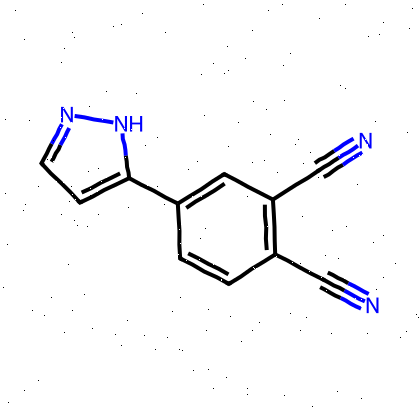 N#Cc1ccc(-c2ccn[nH]2)cc1C#N